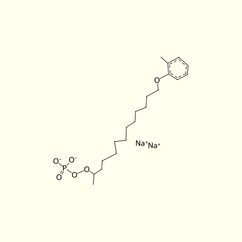 Cc1ccccc1OCCCCCCCCCCCC(C)OOP(=O)([O-])[O-].[Na+].[Na+]